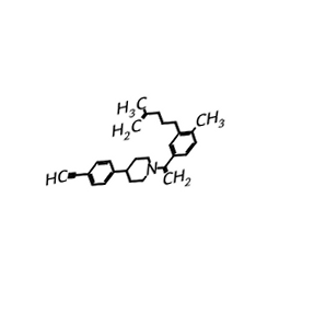 C#Cc1ccc(C2CCN(C(=C)c3ccc(C)c(CCCC(=C)C)c3)CC2)cc1